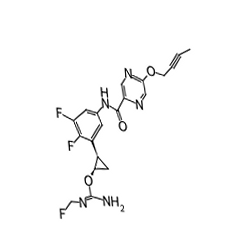 CC#CCOc1cnc(C(=O)Nc2cc(F)c(F)c([C@H]3C[C@H]3O/C(N)=N\CF)c2)cn1